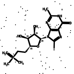 C=P(C)(C)CC[C@H]1O[C@@H](n2c(I)nc3c(=O)[nH]c(C)nc32)[C@H](O)[C@@H]1O